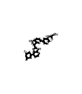 Cc1cc(F)cc(-c2ccnc3[nH]c(-c4n[nH]c5ccc(-c6cncc(NC(=O)C(C)(C)C)c6)nc45)nc23)c1